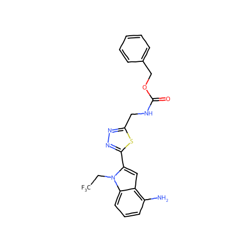 Nc1cccc2c1cc(-c1nnc(CNC(=O)OCc3ccccc3)s1)n2CC(F)(F)F